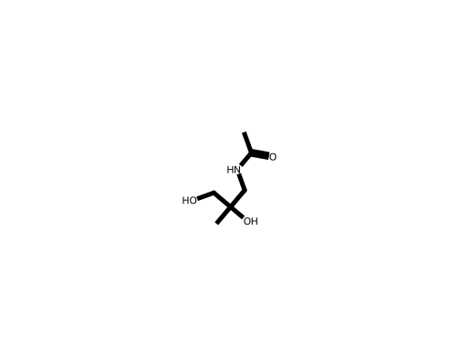 CC(=O)NCC(C)(O)CO